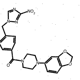 O=C(c1ccc(Cn2cnc([N+](=O)[O-])n2)cc1)N1CCN(c2ccc3c(c2)OCO3)CC1